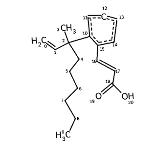 C=CC(C)(CCCCCC)c1ccccc1/C=C/C(=O)O